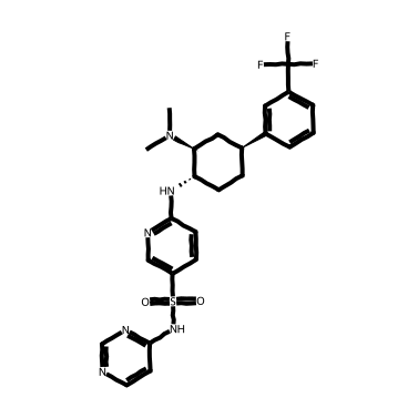 CN(C)[C@H]1C[C@@H](c2cccc(C(F)(F)F)c2)CC[C@@H]1Nc1ccc(S(=O)(=O)Nc2ccncn2)cn1